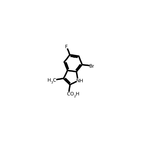 Cc1c(C(=O)O)[nH]c2c(Br)cc(F)cc12